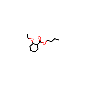 CCCCOC(=O)C1CCCCC1OCC